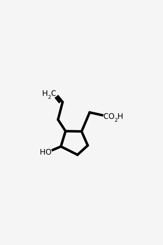 C=CCC1C(O)CCC1CC(=O)O